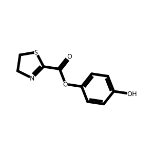 O=C(Oc1ccc(O)cc1)C1=NCCS1